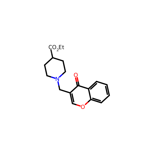 CCOC(=O)C1CCN(Cc2coc3ccccc3c2=O)CC1